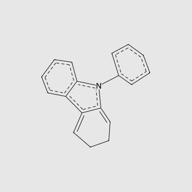 C1=c2c(n(-c3ccccc3)c3ccccc23)=CCC1